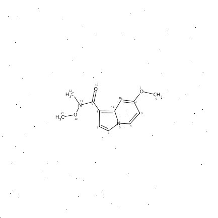 COc1ccn2ccc(C(=O)N(C)OC)c2c1